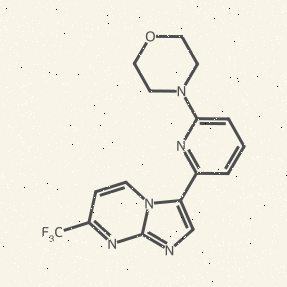 FC(F)(F)c1ccn2c(-c3cccc(N4CCOCC4)n3)cnc2n1